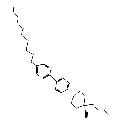 CCCCCCCCCCc1cnc(-c2ccc([C@H]3CC[C@@](C#N)(CCCC)CC3)cc2)nc1